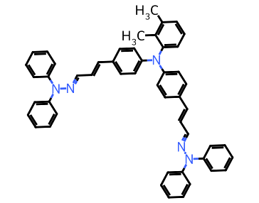 Cc1cccc(N(c2ccc(/C=C/C=N/N(c3ccccc3)c3ccccc3)cc2)c2ccc(/C=C/C=N/N(c3ccccc3)c3ccccc3)cc2)c1C